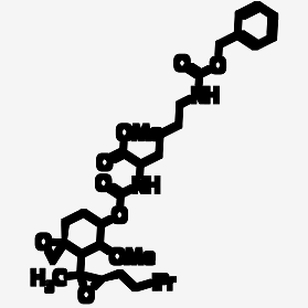 COC(=O)C(CCCCNC(=O)OCc1ccccc1)NC(=O)OC1CC[C@]2(CO2)C(C2(C)O[C@@H]2CCC(C)C)C1OC